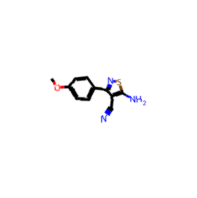 COc1ccc(-c2nsc(N)c2C#N)cc1